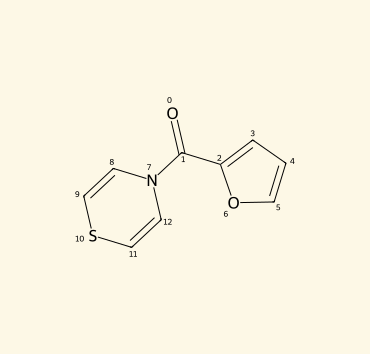 O=C(c1ccco1)N1C=CSC=C1